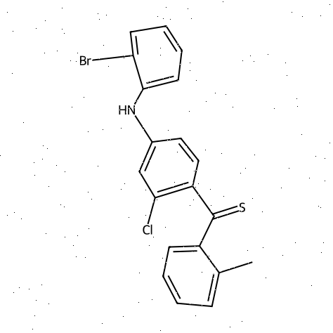 Cc1ccccc1C(=S)c1ccc(Nc2ccccc2Br)cc1Cl